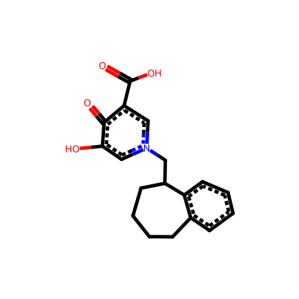 O=C(O)c1cn(CC2CCCCc3ccccc32)cc(O)c1=O